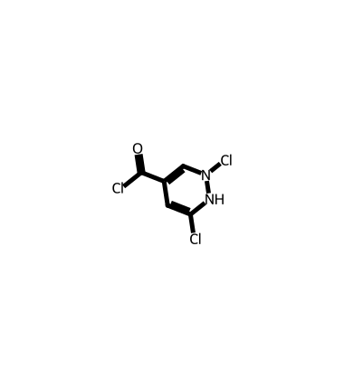 O=C(Cl)C1=CN(Cl)NC(Cl)=C1